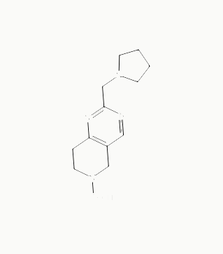 O=C(O)N1CCc2nc(CN3CCCC3)ncc2C1